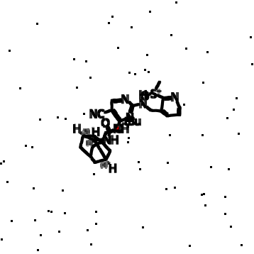 C[S+]([O-])c1ncccc1CNc1ncc(C#N)c(NC[C@]23CC4C[C@H](C2)[C@@H](NC(=O)OC(C)(C)C)[C@@H](C4)C3)n1